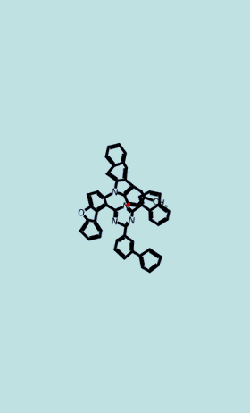 CC1C=Cc2c(c3cc4ccccc4cc3n2-c2ccc3oc4ccccc4c3c2-c2nc(-c3cccc(-c4ccccc4)c3)nc(-c3cccc4ccccc34)n2)C1